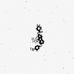 CCOC1CCC(Oc2ccc3c(c2)C(C)(C)c2cc(OC(=O)C4CCC(CC)CC4)ccc2-3)CC1